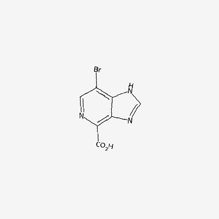 O=C(O)c1ncc(Br)c2[nH]cnc12